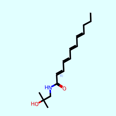 CCCC=CC=CC=C/C=C/C(=O)NCC(C)(C)O